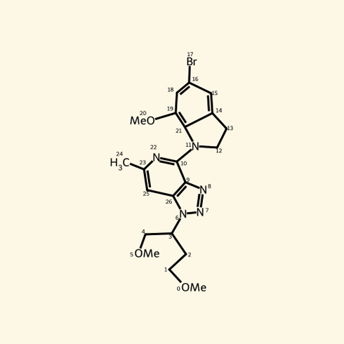 COCCC(COC)n1nnc2c(N3CCc4cc(Br)cc(OC)c43)nc(C)cc21